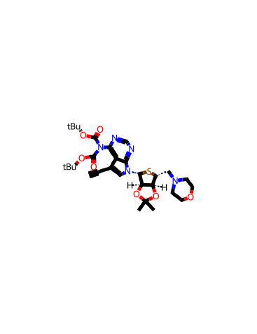 C#Cc1cn([C@@H]2S[C@H](CN3CCOCC3)[C@H]3OC(C)(C)O[C@H]32)c2ncnc(N(C(=O)OC(C)(C)C)C(=O)OC(C)(C)C)c12